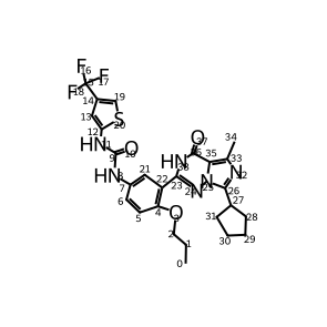 CCCOc1ccc(NC(=O)Nc2cc(C(F)(F)F)cs2)cc1-c1nn2c(C3CCCC3)nc(C)c2c(=O)[nH]1